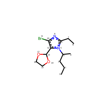 CCCC(C)n1c(CC)nc(Br)c1C1OCCO1